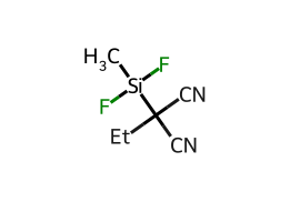 CCC(C#N)(C#N)[Si](C)(F)F